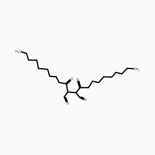 CCCCCCCCCC(=O)C(C=O)C(C=O)C(=O)CCCCCCCCC